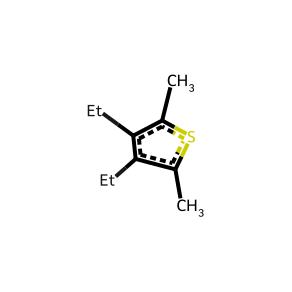 CCc1c(C)sc(C)c1CC